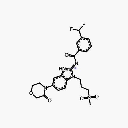 CS(=O)(=O)CCCn1/c(=N/C(=O)c2cccc(C(F)F)c2)[nH]c2cc(N3CCOCC3=O)ccc21